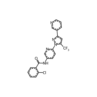 O=C(Nc1ccc(-n2nc(-c3cccnc3)cc2C(F)(F)F)nc1)c1ccccc1Cl